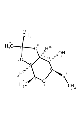 CS[C@H]1O[C@@H](C)[C@H]2OC(C)(C)O[C@H]2[C@@H]1O